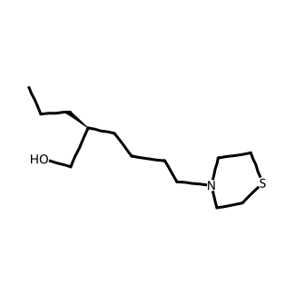 CCC[C@H](CO)CCCCN1CCSCC1